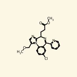 COCc1cnc2n1-c1ccc(Cl)cc1C(c1ccccn1)=NC2CCC(=O)OC